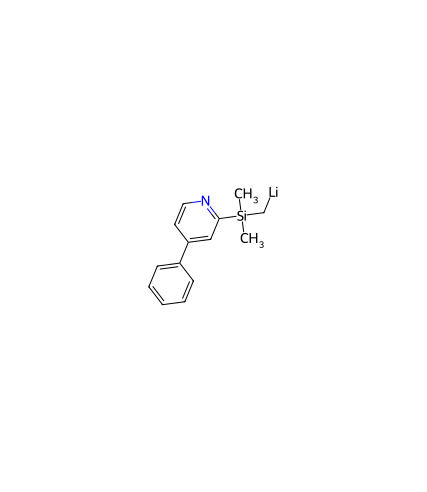 [Li][CH2][Si](C)(C)c1cc(-c2ccccc2)ccn1